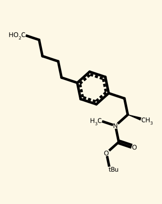 C[C@H](Cc1ccc(CCCCC(=O)O)cc1)N(C)C(=O)OC(C)(C)C